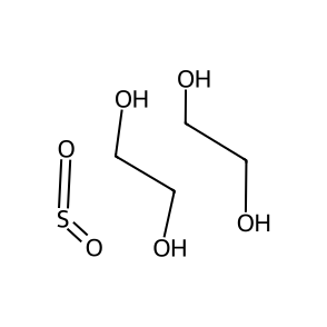 O=S=O.OCCO.OCCO